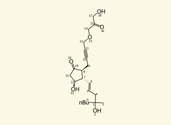 CCCCC(C)(O)C/C=C/[C@H]1[C@H](CC#CCOCC(=O)CO)C(=O)C[C@@H]1O